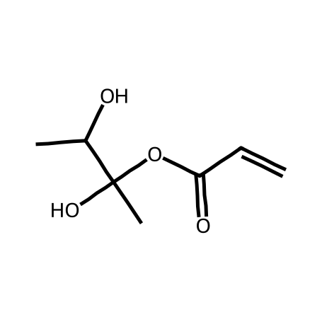 C=CC(=O)OC(C)(O)C(C)O